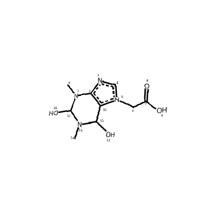 CN1c2ncn(CC(=O)O)c2C(O)N(C)C1O